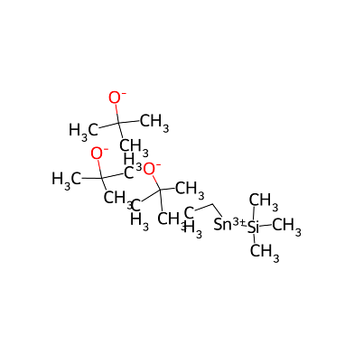 CC(C)(C)[O-].CC(C)(C)[O-].CC(C)(C)[O-].C[CH2][Sn+3][Si](C)(C)C